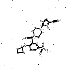 CS(=O)(=O)c1ccc(OC2CCC2)c(C(=O)N2CCN(c3ncc(C#N)s3)CC2)c1